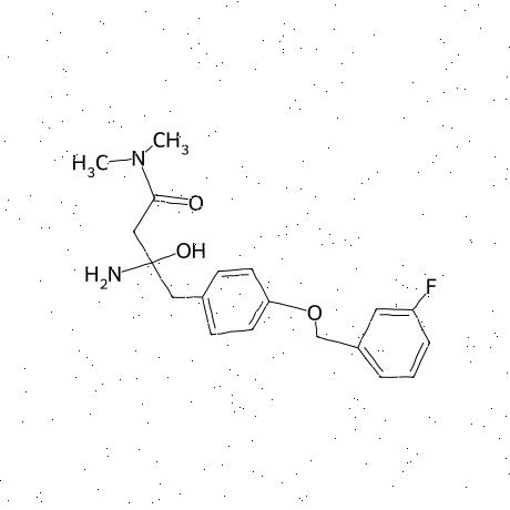 CN(C)C(=O)CC(N)(O)Cc1ccc(OCc2cccc(F)c2)cc1